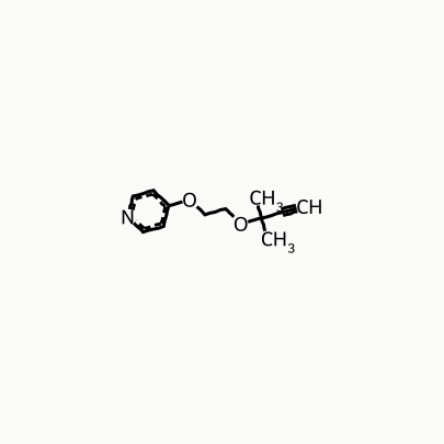 C#CC(C)(C)OCCOc1ccncc1